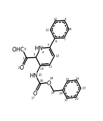 O=CC(=O)C1NC(c2ccccc2)=CC=C1NC(=O)OCc1ccccc1